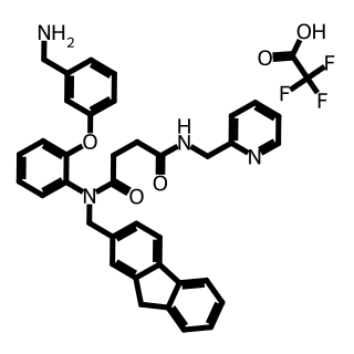 NCc1cccc(Oc2ccccc2N(Cc2ccc3c(c2)Cc2ccccc2-3)C(=O)CCC(=O)NCc2ccccn2)c1.O=C(O)C(F)(F)F